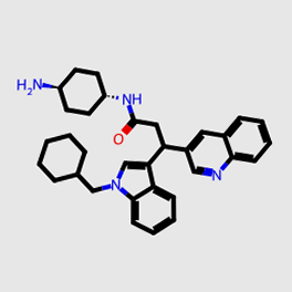 N[C@H]1CC[C@H](NC(=O)CC(c2cnc3ccccc3c2)c2cn(CC3CCCCC3)c3ccccc23)CC1